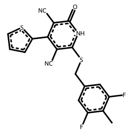 Cc1c(F)cc(CSc2[nH]c(=O)c(C#N)c(-c3cccs3)c2C#N)cc1F